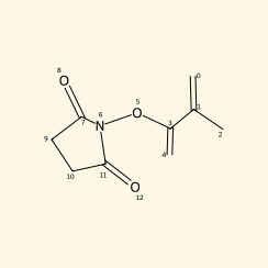 C=C(C)C(=C)ON1C(=O)CCC1=O